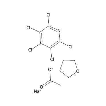 C1CCOC1.CC(=O)[O-].Clc1nc(Cl)c(Cl)c(Cl)c1Cl.[Na+]